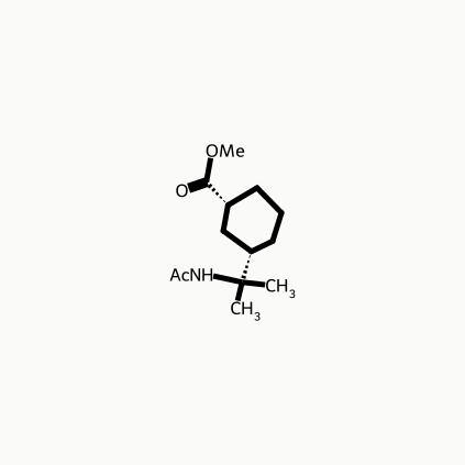 COC(=O)[C@@H]1CCC[C@H](C(C)(C)NC(C)=O)C1